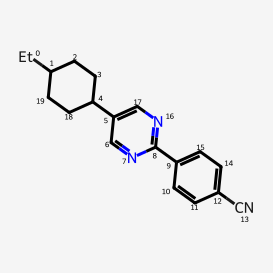 CCC1CCC(c2cnc(-c3ccc(C#N)cc3)nc2)CC1